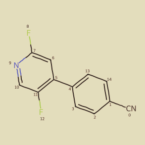 N#Cc1ccc(-c2cc(F)ncc2F)cc1